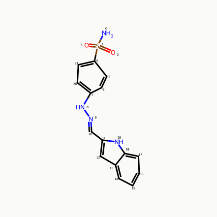 NS(=O)(=O)c1ccc(N/N=C/c2cc3ccccc3[nH]2)cc1